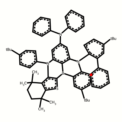 CC(C)(C)c1ccc(N2c3cc(N(c4ccccc4)c4ccccc4)cc4c3B(c3cc(C(C)(C)C)ccc3N4c3ccc(C(C)(C)C)cc3-c3ccccc3)c3sc4c(c32)C(C)(C)CCC4(C)C)cc1